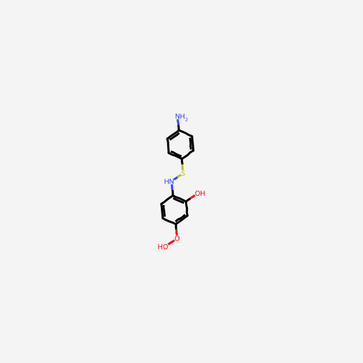 Nc1ccc(SNc2ccc(OO)cc2O)cc1